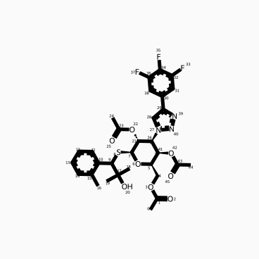 CC(=O)OC[C@H]1O[C@@H](SC(c2ccccc2C)C(C)(C)O)[C@H](OC(C)=O)[C@@H](n2cc(-c3cc(F)c(F)c(F)c3)nn2)[C@H]1OC(C)=O